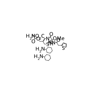 COC1(NC(=O)Cc2cccs2)C(=O)N2C(C(=O)O)=C(COC(N)=O)CS[C@H]21.NC1CCCCC1.NC1CCCCC1